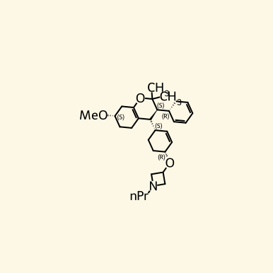 CCCN1CC(O[C@H]2C=C[C@@H](C3C4=C(C[C@@H](OC)CC4)OC(C)(C)[C@H]3[C@H]3C=CC=CC3)CC2)C1